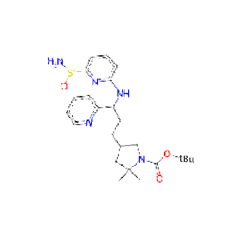 CC(C)(C)OC(=O)N1CC(CCC(Nc2cccc([S+](N)[O-])n2)c2ccccn2)CC1(C)C